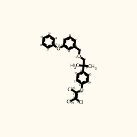 CC(C)(COCc1cccc(Oc2ccccc2)c1)c1ccc(OC(Cl)=C(Cl)Cl)cc1